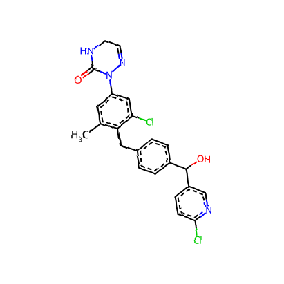 Cc1cc(N2N=CCNC2=O)cc(Cl)c1Cc1ccc(C(O)c2ccc(Cl)nc2)cc1